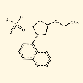 COCOC1CC[S+](c2cccc3ccccc23)C1.O=S(=O)([O-])C(F)(F)F